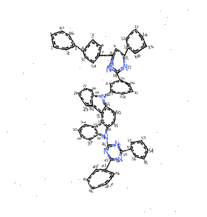 c1ccc(-c2ccc(-c3cc(-c4ccccc4)nc(-c4cccc(-n5c6ccccc6c6c7c8ccccc8n(-c8nc(-c9ccccc9)nc(-c9ccccc9)n8)c7ccc65)c4)n3)cc2)cc1